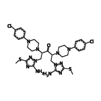 CSc1nc(N)n(CC(C(=O)C(Cn2nc(SC)nc2N)N2CCN(c3ccc(Cl)cc3)CC2)N2CCN(c3ccc(Cl)cc3)CC2)n1